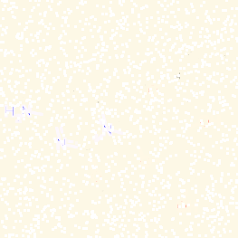 C[Si](C)(OC1C(O)C(CO)OC1n1ccc(N)nc1=O)C1CC1